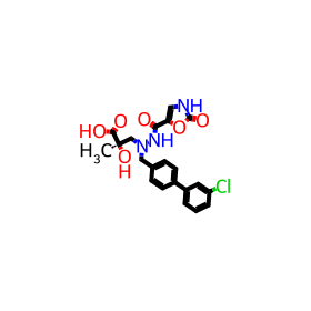 C[C@@](O)(CN(Cc1ccc(-c2cccc(Cl)c2)cc1)NC(=O)c1c[nH]c(=O)o1)C(=O)O